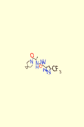 C[C@@H](Nc1nnc(-c2cc(C(F)(F)F)n(C)n2)o1)C(=O)N1CCC2(CC1)CC2